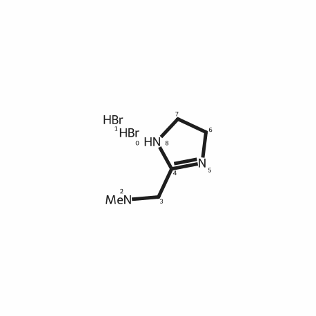 Br.Br.CNCC1=NCCN1